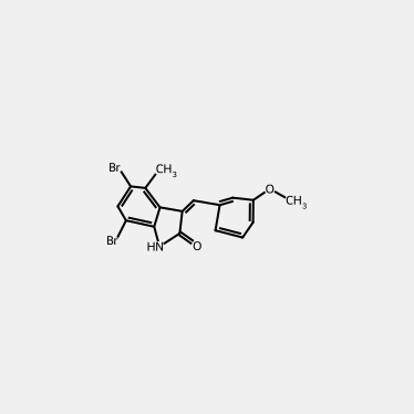 COc1cccc(C=C2C(=O)Nc3c(Br)cc(Br)c(C)c32)c1